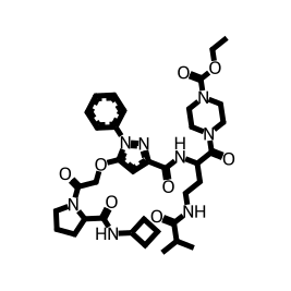 CCOC(=O)N1CCN(C(=O)C(CCNC(=O)C(C)C)NC(=O)c2cc(OCC(=O)N3CCCC3C(=O)NC3CCC3)n(-c3ccccc3)n2)CC1